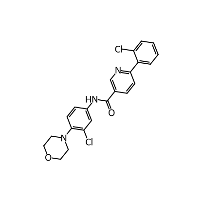 O=C(Nc1ccc(N2CCOCC2)c(Cl)c1)c1ccc(-c2ccccc2Cl)nc1